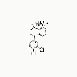 CNC1(C)CCC(c2ccc(Cl)c(Cl)c2)c2ccccc21